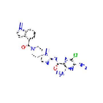 Nc1nc(N)c(C(=O)/N=C2\NCC3(CCN(C(=O)c4cccc5[nH]ccc45)CC3)N2)nc1Cl